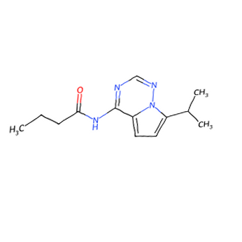 CCCC(=O)Nc1ncnn2c(C(C)C)ccc12